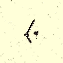 CCCCCCCCCCCCCCOS(=O)(=O)CCCCCCCF.CC[N+](CC)(CC)CC